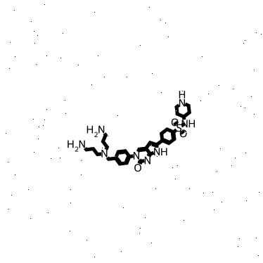 NCCCN(CCCN)Cc1ccc(-n2cc3cc(C4=CC=C(S(=O)(=O)NC5CCNCC5)CC4)[nH]c3nc2=O)cc1